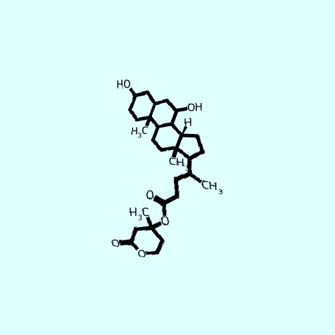 CC(CCC(=O)OC1(C)CCOC(=O)C1)C1CC[C@H]2C3C(O)CC4CC(O)CCC4(C)C3CCC12C